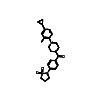 Cc1cc(C2CC2)cnc1N1CCN(C(=O)c2ccc(N3CCCS3(=O)=O)cc2)CC1